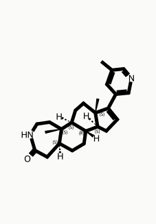 Cc1cncc(C2=CC[C@H]3[C@@H]4CC[C@H]5CC(=O)NCC[C@]5(C)[C@H]4CC[C@]23C)c1